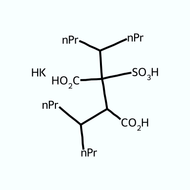 CCCC(CCC)C(C(=O)O)C(C(=O)O)(C(CCC)CCC)S(=O)(=O)O.[KH]